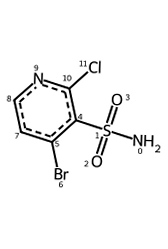 NS(=O)(=O)c1c(Br)ccnc1Cl